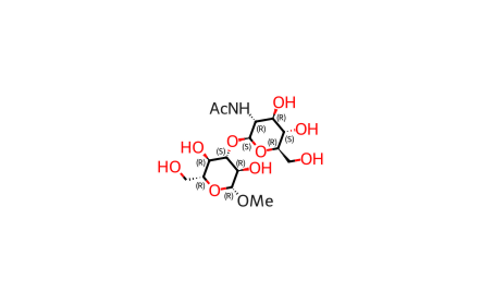 CO[C@@H]1O[C@H](CO)[C@@H](O)[C@H](O[C@@H]2O[C@H](CO)[C@@H](O)[C@H](O)[C@H]2NC(C)=O)[C@H]1O